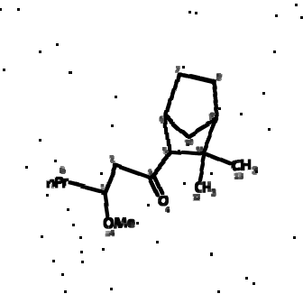 CCCC(CC(=O)C1C2CCC(C2)C1(C)C)OC